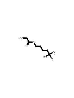 C=CC(=O)OCCCCC(Br)(Br)Br